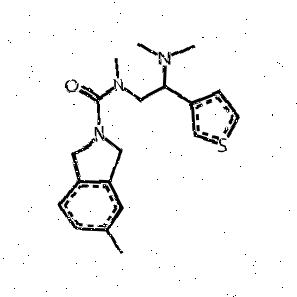 Cc1ccc2c(c1)CN(C(=O)N(C)CC(c1ccsc1)N(C)C)C2